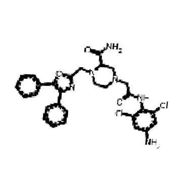 NC(=O)C1CN(CC(=O)Nc2c(Cl)cc(N)cc2Cl)CCN1Cc1nc(-c2ccccc2)c(-c2ccccc2)o1